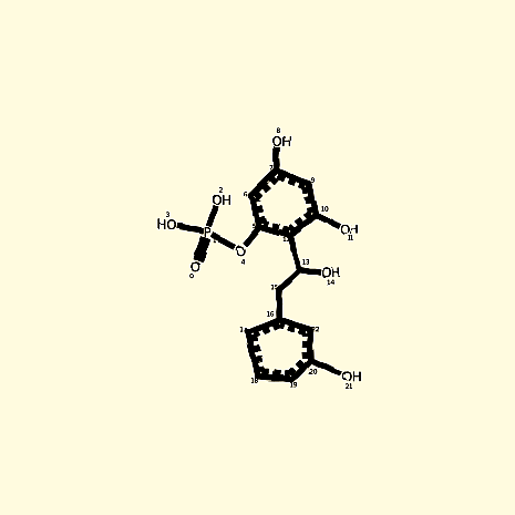 O=P(O)(O)Oc1cc(O)cc(O)c1C(O)Cc1cccc(O)c1